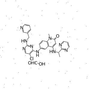 CC(Nc1cc(=O)n(C)c2ccc(Nc3nc(NCc4cccnc4)ncc3Cl)cc12)c1ncccn1.O=CO